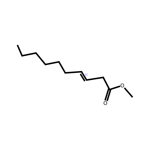 CCCCCC/C=C/CC(=O)OC